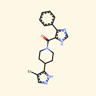 CCc1cn[nH]c1C1CCN(C(=O)c2[nH]cnc2-c2ccccc2)CC1